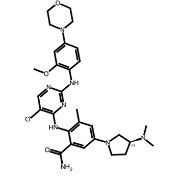 COc1cc(N2CCOCC2)ccc1Nc1ncc(Cl)c(Nc2c(C)cc(N3CC[C@H](N(C)C)C3)cc2C(N)=O)n1